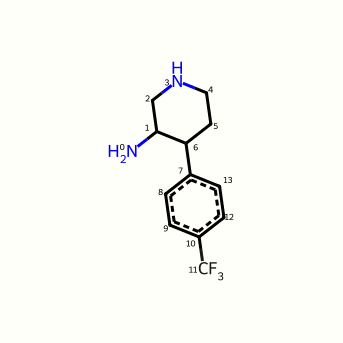 NC1CNCCC1c1ccc(C(F)(F)F)cc1